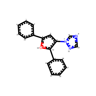 c1ccc(-c2cc(-n3cncn3)c(-c3ccccc3)o2)cc1